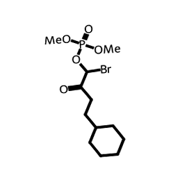 COP(=O)(OC)OC(Br)C(=O)CCC1CCCCC1